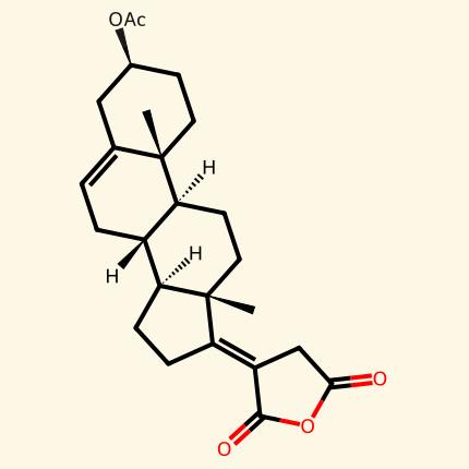 CC(=O)O[C@H]1CC[C@@]2(C)C(=CC[C@@H]3[C@@H]2CC[C@]2(C)/C(=C4\CC(=O)OC4=O)CC[C@@H]32)C1